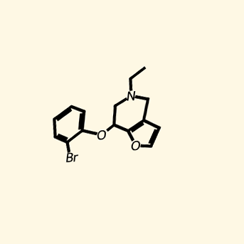 CCN1Cc2ccoc2C(Oc2ccccc2Br)C1